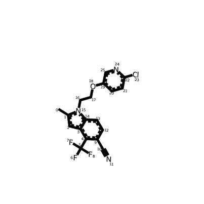 Cc1cc2c(C(F)(F)F)c(C#N)ccc2n1CCOc1ccc(Cl)nc1